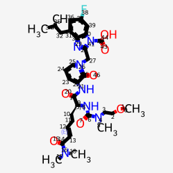 COCCN(C)C(=O)N[C@@H](CC/C=C/C(=O)N(C)C)C(=O)Nc1cccn(Cc2nc3c(CC(C)C)cc(F)cc3n2C(=O)O)c1=O